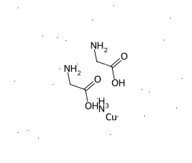 N.NCC(=O)O.NCC(=O)O.[Cu]